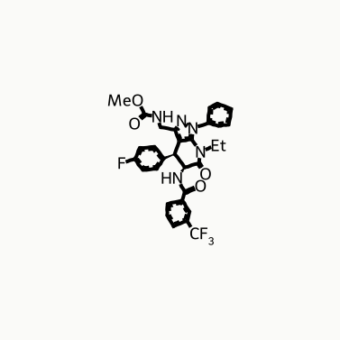 CCN1C(=O)[C@@H](NC(=O)c2cccc(C(F)(F)F)c2)[C@@H](c2ccc(F)cc2)c2c(CNC(=O)OC)nn(-c3ccccc3)c21